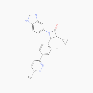 Cc1cc(-c2ccc(C(F)(F)F)nn2)ccc1C1C(C2CC2)C(=O)N1c1ccc2[nH]cnc2c1